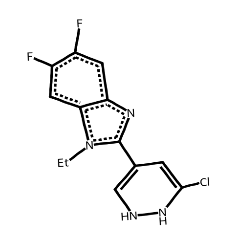 CCn1c(C2=CNNC(Cl)=C2)nc2cc(F)c(F)cc21